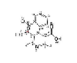 CC1=NC(C)=C(C(=O)O)C(c2ccccc2[N+](=O)[O-])C1C(=O)O